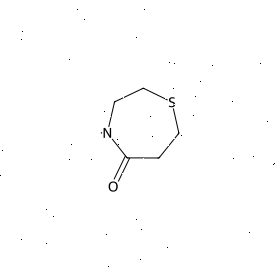 O=C1CCSCC[N]1